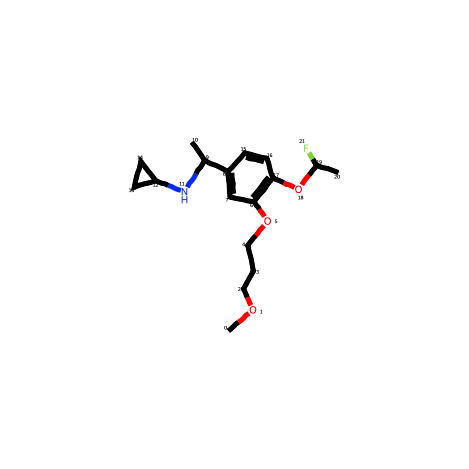 COCCCOc1cc(C(C)NC2CC2)ccc1OC(C)F